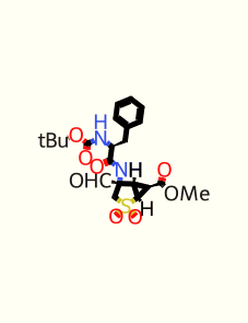 COC(=O)[C@@H]1[C@@H]2[C@H]1S(=O)(=O)C[C@]2(C=O)NC(=O)[C@H](Cc1ccccc1)NC(=O)OC(C)(C)C